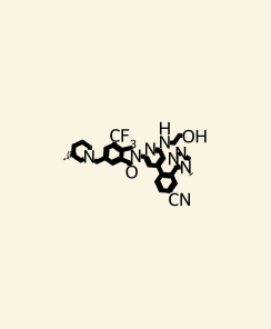 C[C@@H]1CCCN(Cc2cc3c(c(C(F)(F)F)c2)CN(c2cc(-c4ccc(C#N)cc4-c4nncn4C)cc(NCCO)n2)C3=O)C1